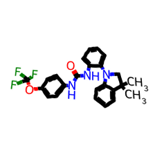 CC1(C)CN(c2ccccc2NC(=O)Nc2ccc(OC(F)(F)F)cc2)c2ccccc21